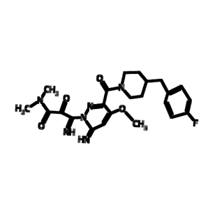 COc1cc(=N)n(C(=N)C(=O)C(=O)N(C)C)nc1C(=O)N1CCC(Cc2ccc(F)cc2)CC1